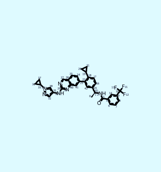 C[C@H](NC(=O)c1cccc(C(F)(F)F)c1)c1ccc(C2CC2)c(-c2ccc3cnc(Nc4cnn(C5CC5)c4)nc3c2)c1